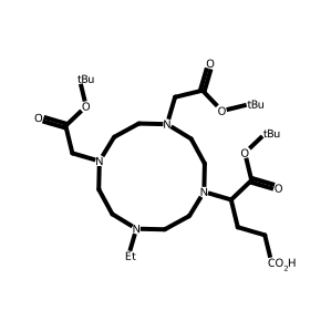 CCN1CCN(CC(=O)OC(C)(C)C)CCN(CC(=O)OC(C)(C)C)CCN(C(CCC(=O)O)C(=O)OC(C)(C)C)CC1